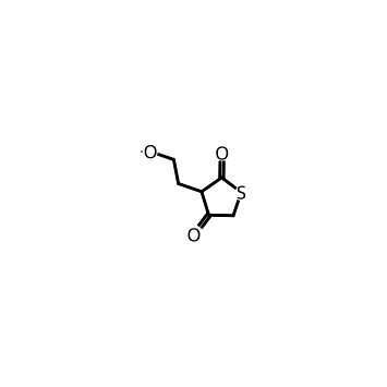 [O]CCC1C(=O)CSC1=O